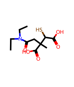 CCN(CC)C(=O)CC(C)(C(=O)O)C(S)C(=O)O